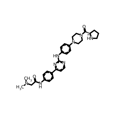 CN(C)CC(=O)Nc1ccc(-c2ccnc(Nc3ccc(N4CCN(C(=O)[C@H]5CCCN5)CC4)cc3)n2)cc1